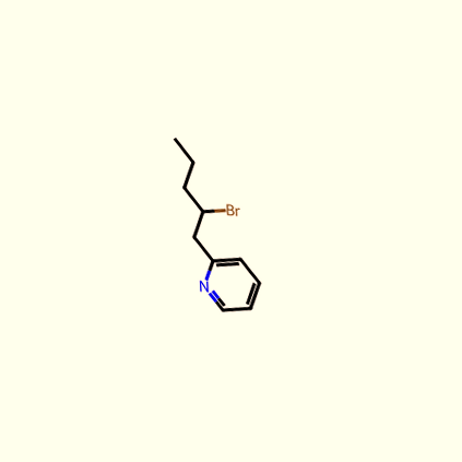 CCCC(Br)Cc1ccccn1